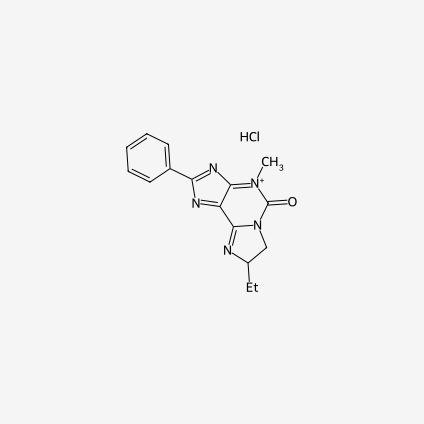 CCC1Cn2c(c3c([n+](C)c2=O)N=C(c2ccccc2)N=3)=N1.Cl